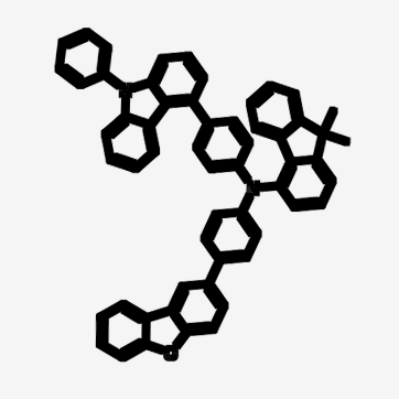 CC1(C)c2ccccc2-c2c(N(c3ccc(-c4ccc5oc6ccccc6c5c4)cc3)c3ccc(-c4cccc5c4c4ccccc4n5-c4ccccc4)cc3)cccc21